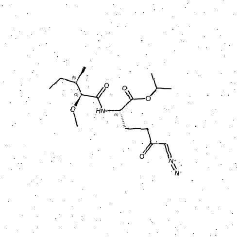 CC[C@@H](C)[C@H](OC)C(=O)N[C@@H](CCC(=O)C=[N+]=[N-])C(=O)OC(C)C